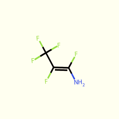 NC(F)=C(F)C(F)(F)F